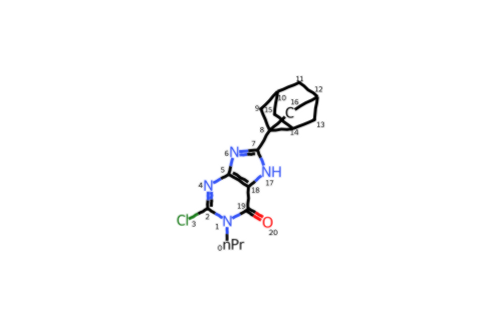 CCCn1c(Cl)nc2nc(C34CC5CC(CC3C5)C4)[nH]c2c1=O